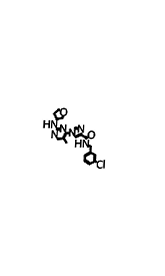 Cc1cnc(NC2CCOC2)nc1-n1cnc(C(=O)NCc2cccc(Cl)c2)c1